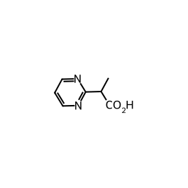 CC(C(=O)O)c1ncccn1